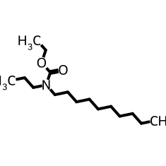 CCCCCCCCCCN(CCC)C(=O)OCC